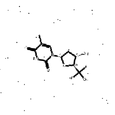 Cc1cn([C@H]2C[C@H](O)[C@@H](C(O)(F)F)O2)c(=O)[nH]c1=O